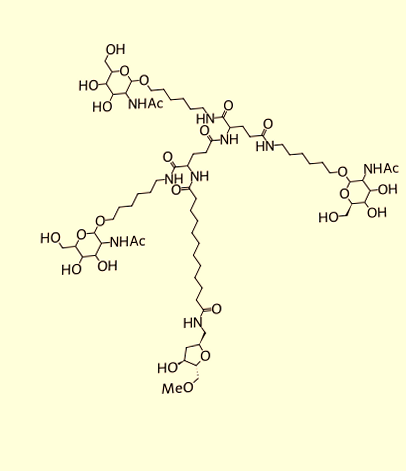 COC[C@H]1O[C@H](CNC(=O)CCCCCCCCCCC(=O)NC(CCC(=O)NC(CCC(=O)NCCCCCCOC2O[C@H](CO)C(O)C(O)C2NC(C)=O)C(=O)NCCCCCCOC2OC(CO)C(O)C(O)C2NC(C)=O)C(=O)NCCCCCCOC2OC(CO)C(O)C(O)C2NC(C)=O)C[C@@H]1O